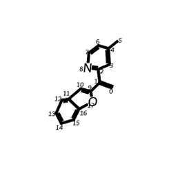 C=C(c1cc(C)ccn1)c1cc2ccccc2o1